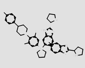 Fc1ccc(C2CCN(c3c(F)cc([N@+]4(c5cc6[nH]c([C@@H]7CCCN7)nc6cc5F)CCC[C@H]4c4cc5[nH]c(C6CCCN6)nc5cc4F)cc3F)CC2)cc1